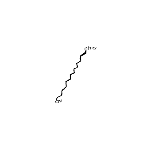 CCCCCCC=CCCCCCCCCCCCCC#N